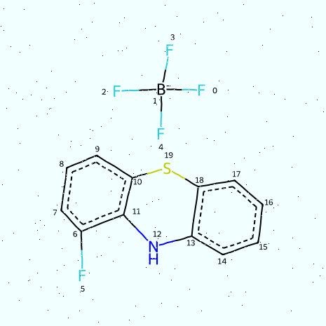 F[B-](F)(F)F.Fc1cccc2c1Nc1ccccc1S2